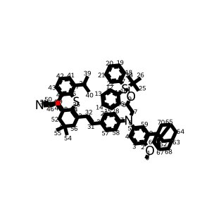 COc1ccc(N(CCO[Si](c2ccccc2)(c2ccccc2)C(C)(C)C)c2ccc(/C=C/C3=C(Sc4c(C(C)C)cccc4C(C)C)C(=C/C#N)/CC(C)(C)C3)cc2)cc1C12CC3CC(CC(C3)C1)C2